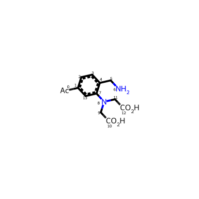 CC(=O)c1ccc(CN)c(N(CC(=O)O)CC(=O)O)c1